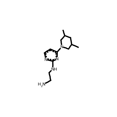 CC1CC(C)CN(c2ccnc(NCCN)n2)C1